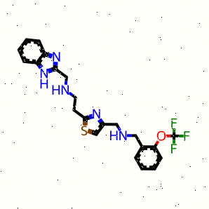 FC(F)(F)Oc1ccccc1CNCc1csc(CCNCc2nc3ccccc3[nH]2)n1